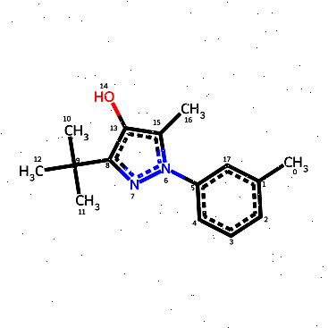 Cc1cccc(-n2nc(C(C)(C)C)c(O)c2C)c1